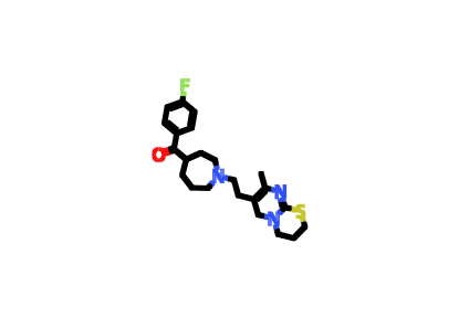 CC1=C(CCN2CCCC(C(=O)c3ccc(F)cc3)CC2)CN2CCCSC2=N1